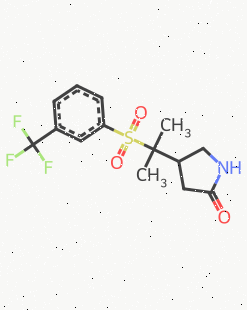 CC(C)(C1CNC(=O)C1)S(=O)(=O)c1cccc(C(F)(F)F)c1